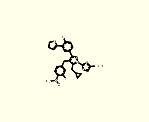 N[S+]([O-])c1ccc(Cc2c(-c3ccc(F)c(C4=CCCO4)c3)nn(-c3nc(C(=O)O)cs3)c2CC2CC2)cc1F